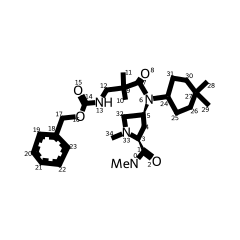 CNC(=O)[C@@H]1C[C@H](N(C(=O)C(C)(C)CNC(=O)OCc2ccccc2)C2CCC(C)(C)CC2)CN1C